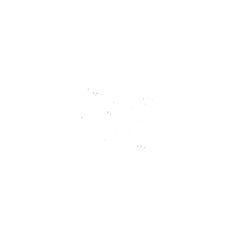 COC(=O)[C@@H]1CCCC(OC)N1C(=O)OC(C)(C)C